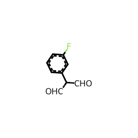 O=CC(C=O)c1cccc(F)c1